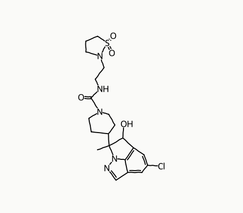 CC1(C2CCN(C(=O)NCCN3CCCS3(=O)=O)CC2)C(O)c2cc(Cl)cc3cnn1c23